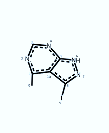 Cc1ncnc2[nH]nc(I)c12